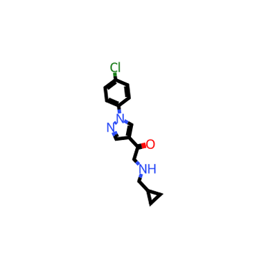 O=C(CNCC1CC1)c1cnn(-c2ccc(Cl)cc2)c1